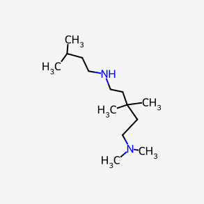 CC(C)CCNCCC(C)(C)CCN(C)C